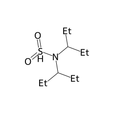 CCC(CC)N(C(CC)CC)[SH](=O)=O